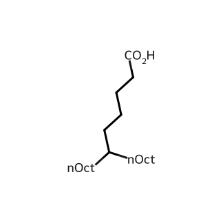 CCCCCCCCC(CCCCCCCC)CCCCC(=O)O